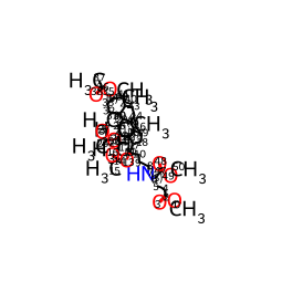 COC(=O)CC[C@H](NCCC[C@](C)(OC(C)=O)C1CC[C@]2(C)[C@@H]1C(OC(C)=O)CC1[C@@]3(C)CC[C@H](OC(C)=O)C(C)(C)C3CC[C@]12C)C(=O)OC